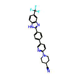 N#CC1CCN(c2ccc(-c3ccc(-c4nc5cc(C(F)(F)F)ccc5[nH]4)cc3)cn2)CC1